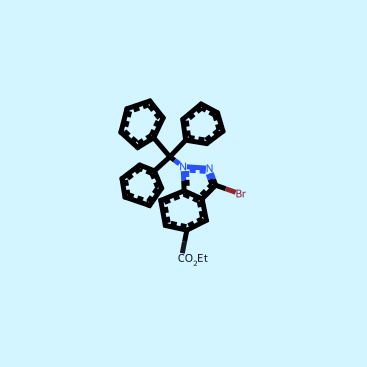 CCOC(=O)c1ccc2c(c1)c(Br)nn2C(c1ccccc1)(c1ccccc1)c1ccccc1